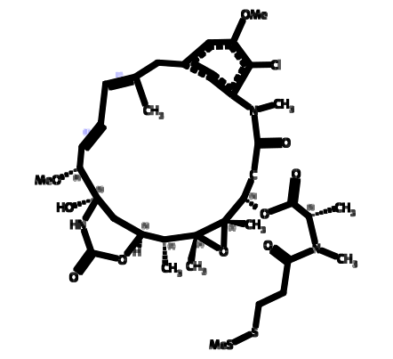 COc1cc2cc(c1Cl)N(C)C(=O)C[C@H](OC(=O)[C@H](C)N(C)C(=O)CCSSC)[C@]1(C)O[C@]1(C)[C@H](C)[C@@H]1C[C@@](O)(NC(=O)O1)[C@H](OC)/C=C/C=C(\C)C2